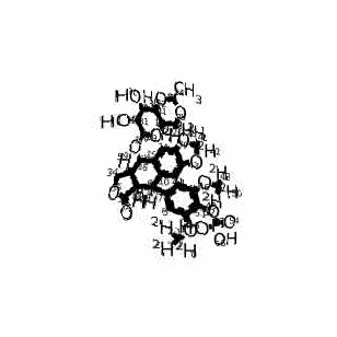 [2H]C([2H])([2H])Oc1cc([C@]2([2H])c3cc4c(cc3[C@@H](O[C@@H]3O[C@H]5[C@@H](O[C@H](C)OC5([2H])[2H])[C@H](O)[C@H]3O)[C@H]3COC(=O)[C@@H]32)OC([2H])([2H])O4)cc(OC([2H])([2H])[2H])c1OP(=O)(O)O